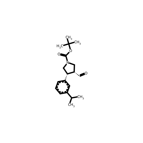 CC(C)c1cccc([C@@H]2CN(C(=O)OC(C)(C)C)C[C@@H]2C=O)c1